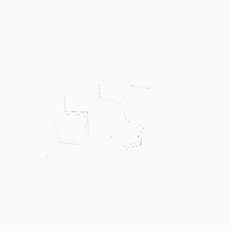 OC(CCl)C(C(O)c1ccc(Cl)cc1Cl)n1cncn1